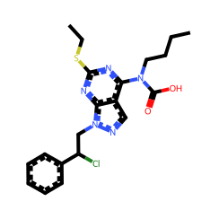 CCCCN(C(=O)O)c1nc(SCC)nc2c1cnn2CC(Cl)c1ccccc1